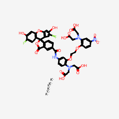 O=C(O)CN(CC(=O)O)c1ccc(NC(=O)c2ccc3c(c2)C(=O)OC32c3cc(F)c(O)cc3Oc3cc(O)c(F)cc32)cc1OCCOc1ccc([N+](=O)[O-])cc1N(CC(=O)O)CC(=O)O.[K].[K].[K].[K].[K].[K]